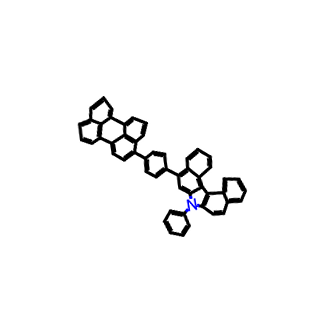 c1ccc(-n2c3ccc4ccccc4c3c3c4ccccc4c(-c4ccc(-c5ccc6c7cccc8cccc(c9cccc5c96)c87)cc4)cc32)cc1